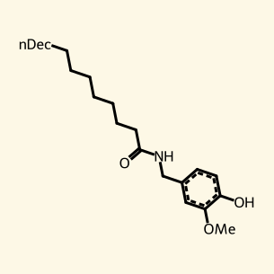 CCCCCCCCCCCCCCCCCC(=O)NCc1ccc(O)c(OC)c1